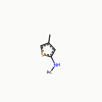 CC(=O)Nc1cc(C)cs1